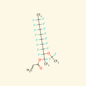 C=CC(=O)OC(F)(C(F)(F)F)C(F)(OC(F)(F)C(F)(F)F)C(F)(F)C(F)(F)C(F)(F)C(F)(F)C(F)(F)C(F)(F)C(F)(F)C(F)(F)F